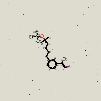 CC/C(=C\I)c1cccc(CCCCC(C)(C)O[Si](CC)(CC)CC)c1